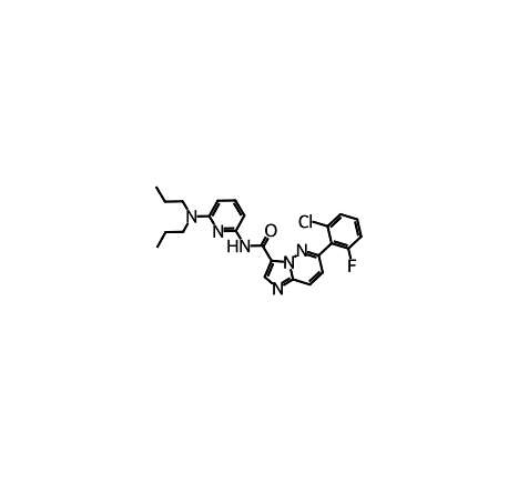 CCCN(CCC)c1cccc(NC(=O)c2cnc3ccc(-c4c(F)cccc4Cl)nn23)n1